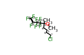 COC(C)(CCCCCl)C(F)(F)C(F)(F)C(F)=C(F)F